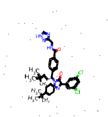 CC(C)(C)CC[C@H](c1ccc(C(=O)NCc2nc[nH]n2)cc1)N1C(=O)C(c2cc(Cl)cc(Cl)c2)=NC12CCC(C(C)(C)C)CC2